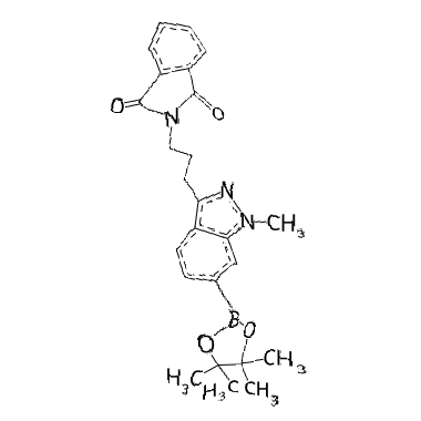 Cn1nc(CCCN2C(=O)c3ccccc3C2=O)c2ccc(B3OC(C)(C)C(C)(C)O3)cc21